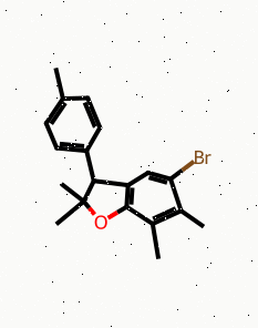 Cc1ccc(C2c3cc(Br)c(C)c(C)c3OC2(C)C)cc1